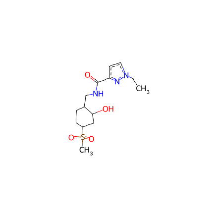 CCn1ccc(C(=O)NCC2CCC(S(C)(=O)=O)CC2O)n1